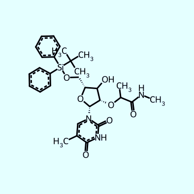 CNC(=O)C(C)O[C@H]1C(O)[C@@H](CO[Si](c2ccccc2)(c2ccccc2)C(C)(C)C)O[C@H]1n1cc(C)c(=O)[nH]c1=O